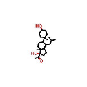 CC(=O)C1(O)CCC2C(CC(C)C)C(C3(C)CCC(O)CC3)CCC21C